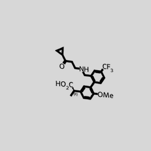 COc1ccc([C@@H](C)C(=O)O)cc1-c1ccc(C(F)(F)F)cc1CNCCC(=O)C1CC1